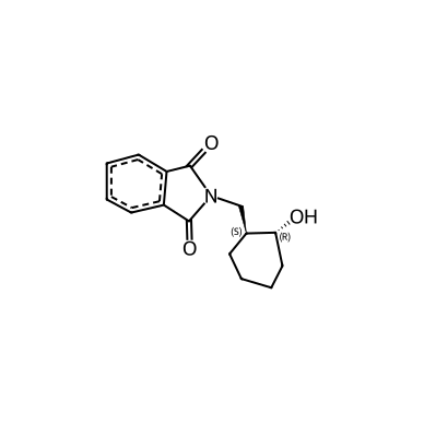 O=C1c2ccccc2C(=O)N1C[C@@H]1CCCC[C@H]1O